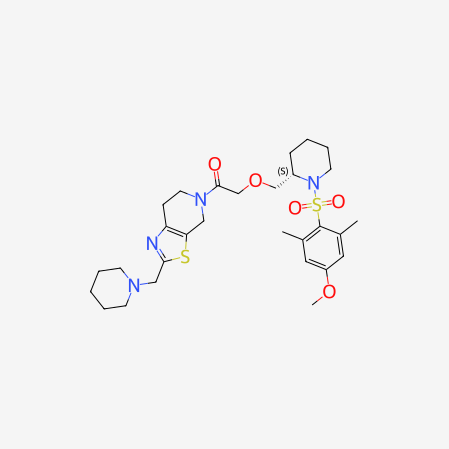 COc1cc(C)c(S(=O)(=O)N2CCCC[C@H]2COCC(=O)N2CCc3nc(CN4CCCCC4)sc3C2)c(C)c1